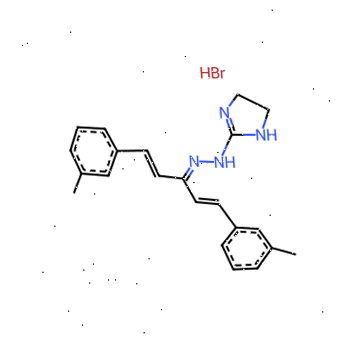 Br.Cc1cccc(C=CC(C=Cc2cccc(C)c2)=NNC2=NCCN2)c1